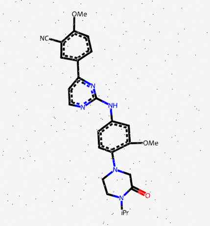 COc1ccc(-c2ccnc(Nc3ccc(N4CCN(C(C)C)C(=O)C4)c(OC)c3)n2)cc1C#N